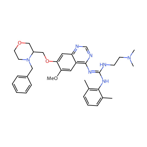 COc1cc2c(/N=C(\NCCN(C)C)Nc3c(C)cccc3C)ncnc2cc1OCC1COCCN1Cc1ccccc1